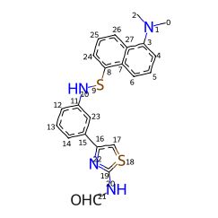 CN(C)c1cccc2c(SNc3cccc(-c4csc(NC=O)n4)c3)cccc12